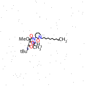 C=CCCCCCCCCN1CCCCC(NC(=O)[C@H](OC)[C@H]2C[C@@H](/C=C/C(C)(C)C)OC(C)(C)O2)C1=O